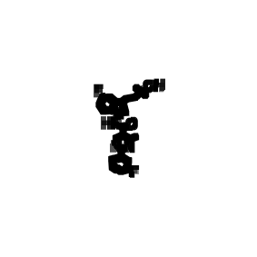 Cc1nc(-c2cccc(F)c2)ncc1C(=O)Nn1cc(CCC(C)(C)O)c2cc(F)ccc21